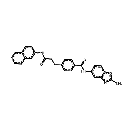 Cc1nc2cc(NC(=O)c3ccc(CCC(=O)Nc4ccc5cnccc5c4)cc3)ccc2s1